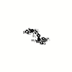 COc1cc(N2CCC(CN3CC(C)N(c4ccc5c(c4)C(=O)N(C4CCC(=O)NC4=O)C5=O)C(C)C3)CC2)ccc1Nc1ncc(Cl)c(Nc2ccccc2P(C)(C)=O)n1